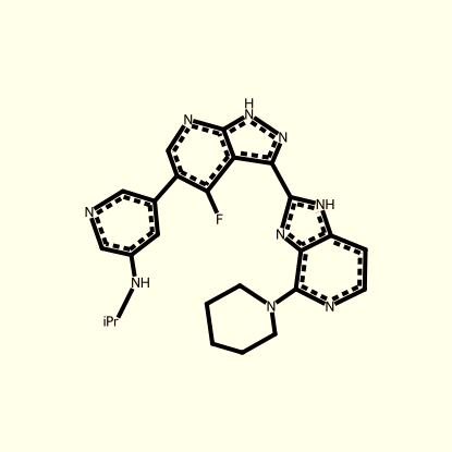 CC(C)Nc1cncc(-c2cnc3[nH]nc(-c4nc5c(N6CCCCC6)nccc5[nH]4)c3c2F)c1